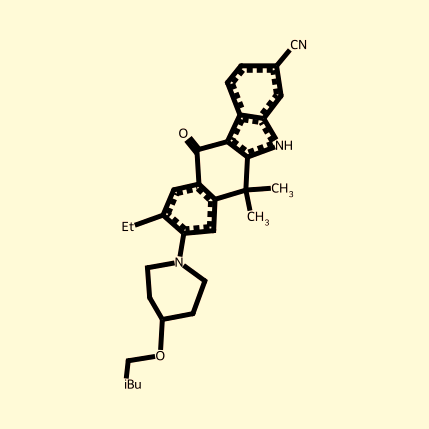 CCc1cc2c(cc1N1CCC(OCC(C)CC)CC1)C(C)(C)c1[nH]c3cc(C#N)ccc3c1C2=O